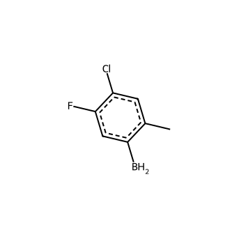 Bc1cc(F)c(Cl)cc1C